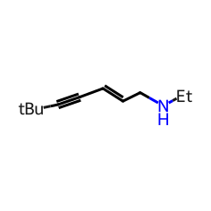 CCNCC=CC#CC(C)(C)C